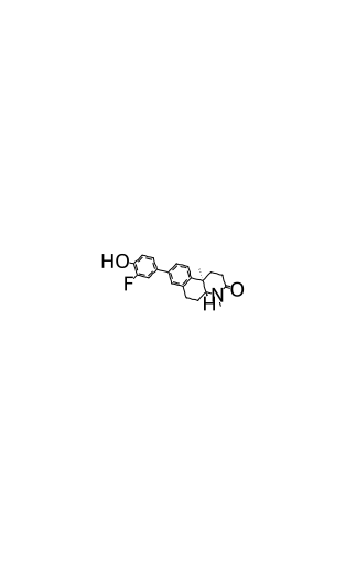 CN1C(=O)CC[C@]2(C)c3ccc(-c4ccc(O)c(F)c4)cc3CC[C@@H]12